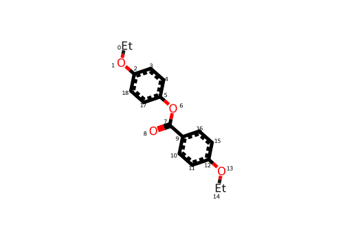 CCOc1ccc(OC(=O)c2ccc(OCC)cc2)cc1